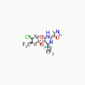 O=c1[nH]c(-c2cnco2)nc(C(F)(F)C(F)(F)F)c1Oc1ccc(Cl)c(C(F)(F)F)c1